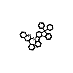 c1ccc(-c2cc3ccccc3nc2-n2c3ccccc3c3c4c(ccc32)C(c2ccccc2)(c2ccccc2)c2ccccc2-4)cc1